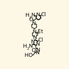 CC[C@H]1CN(c2nc(N)c(-c3nnc(CO)o3)nc2Cl)CCN1C1CCN(C(=O)c2ccc(Cl)nc2N)CC1